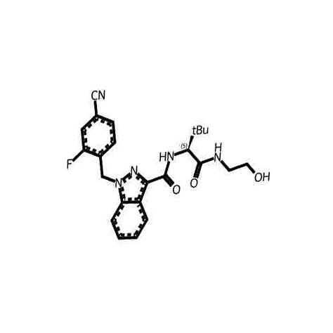 CC(C)(C)[C@H](NC(=O)c1nn(Cc2ccc(C#N)cc2F)c2ccccc12)C(=O)NCCO